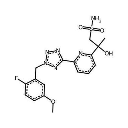 COc1ccc(F)c(Cn2nnc(-c3cccc(C(C)(O)CS(N)(=O)=O)n3)n2)c1